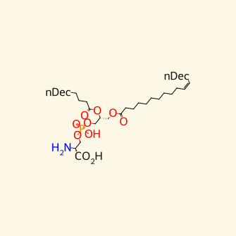 CCCCCCCCCC/C=C\CCCCCCCCCC(=O)OC[C@H](COP(=O)(O)OC[C@H](N)C(=O)O)OC(=O)CCCCCCCCCCCCC